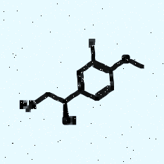 COc1ccc([C@@H](O)CN)cc1F